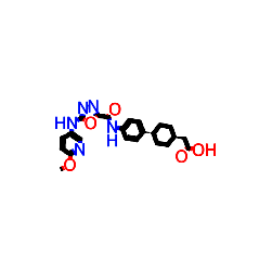 COc1ccc(Nc2nnc(C(=O)Nc3ccc([C@H]4CC[C@H](CC(=O)O)CC4)cc3)o2)cn1